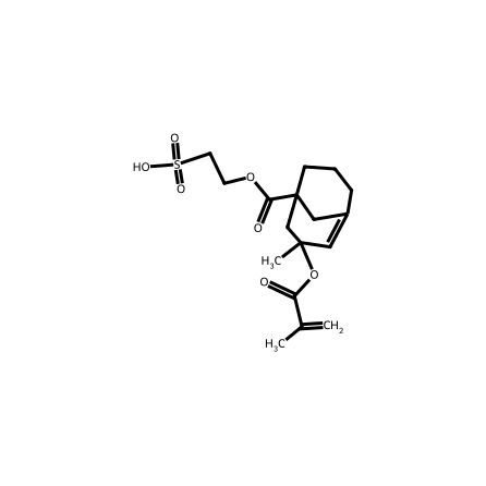 C=C(C)C(=O)OC1(C)C=C2CCCC(C(=O)OCCS(=O)(=O)O)(C2)C1